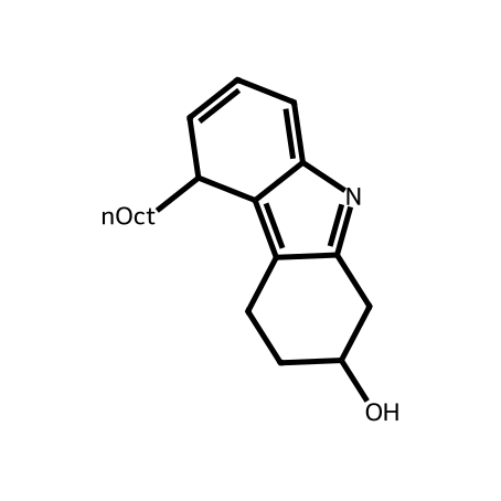 CCCCCCCCC1C=CC=C2N=C3CC(O)CCC3=C21